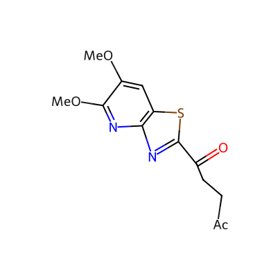 COc1cc2sc(C(=O)CCC(C)=O)nc2nc1OC